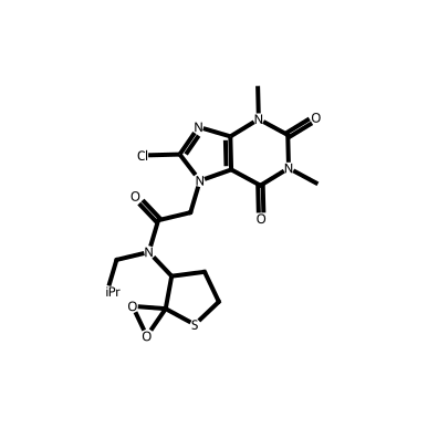 CC(C)CN(C(=O)Cn1c(Cl)nc2c1c(=O)n(C)c(=O)n2C)C1CCSC12OO2